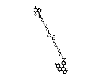 CC(=O)c1cccc(NCCCOCCOCCOCCCNC(=O)COCCOCCOCCOCCN(C)c2ccc(C3CC45OC4CCC5C4CCC5=CC(=O)CCC5=C34)cc2)c1C(C)=O